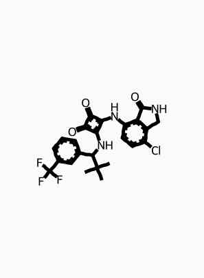 CC(C)(C)C(Nc1c(Nc2ccc(Cl)c3c2C(=O)NC3)c(=O)c1=O)c1cccc(C(F)(F)F)c1